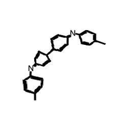 Cc1ccc(N=C2C=CC(C3C=CC(=Nc4ccc(C)cc4)C=C3)C=C2)cc1